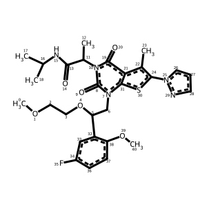 COCCOC(Cn1c(=O)n(C(C)C(=O)NC(C)C)c(=O)c2c(C)c(-n3cccn3)sc21)c1cc(F)ccc1OC